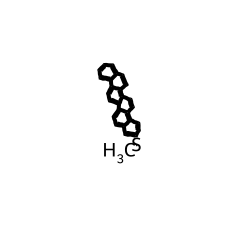 CSc1ccc2c(ccc3c2ccc2c4ccc5ccccc5c4ccc32)c1